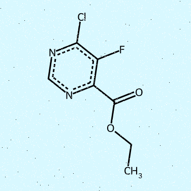 CCOC(=O)c1ncnc(Cl)c1F